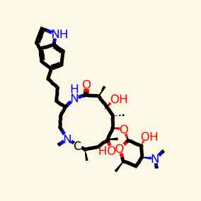 C[C@H]1CN(C)CCC(CCCc2ccc3[nH]ccc3c2)NC(=O)[C@@H](C)[C@@H](O)[C@H](C)[C@@H](O[C@@H]2O[C@H](C)C[C@H](N(C)C)[C@H]2O)[C@](C)(O)C1